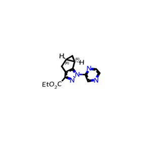 CCOC(=O)c1nn(-c2cnccn2)c2c1C[C@H]1C[C@@H]21